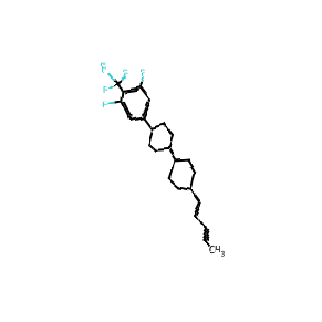 C/C=C/C=C/C1CCC(C2CCC(c3cc(F)c(C(F)(F)F)c(F)c3)CC2)CC1